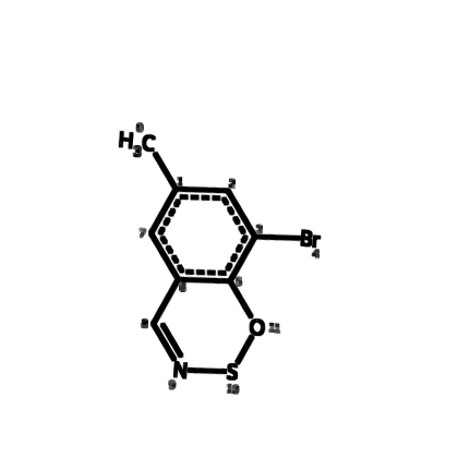 Cc1cc(Br)c2c(c1)C=NSO2